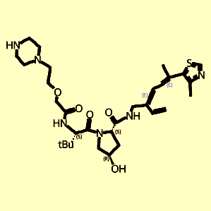 C=C/C(=C\C=C(/C)c1scnc1C)CNC(=O)[C@@H]1C[C@@H](O)CN1C(=O)[C@@H](NC(=O)COCCN1CCNCC1)C(C)(C)C